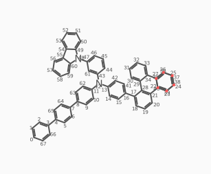 c1ccc(-c2ccc(-c3ccc(N(c4ccc(-c5cccc(-c6ccccc6)c5-c5ccccc5-c5ccccc5)cc4)c4cccc(-n5c6ccccc6c6ccccc65)c4)cc3)cc2)cc1